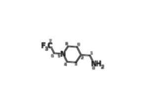 NCC1CCN(CC(F)(F)F)CC1